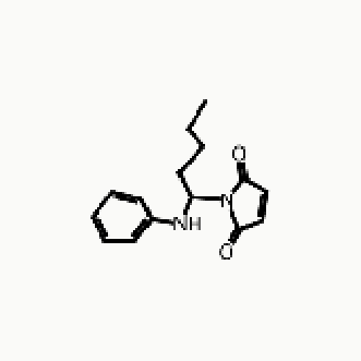 CCCCC(Nc1ccccc1)N1C(=O)C=CC1=O